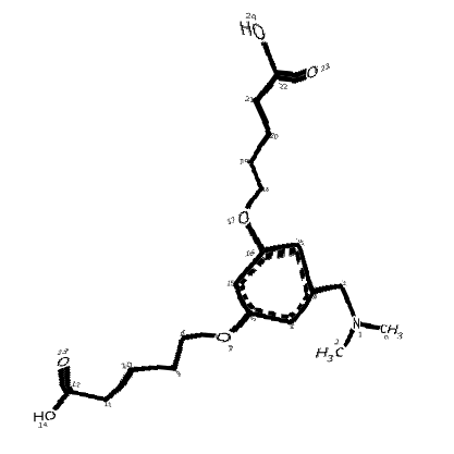 CN(C)Cc1cc(OCCCCC(=O)O)cc(OCCCCC(=O)O)c1